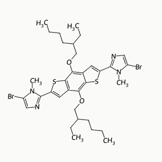 CCCCC(CC)COc1c2cc(-c3ncc(Br)n3C)sc2c(OCC(CC)CCCC)c2cc(-c3ncc(Br)n3C)sc12